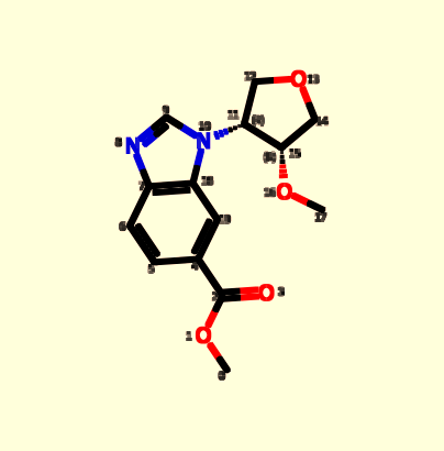 COC(=O)c1ccc2ncn([C@@H]3COC[C@@H]3OC)c2c1